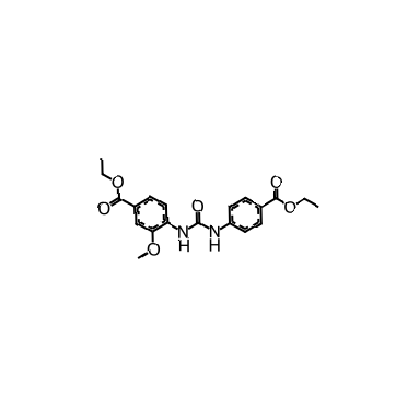 CCOC(=O)c1ccc(NC(=O)Nc2ccc(C(=O)OCC)cc2OC)cc1